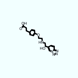 O=C(O)CCc1ccc(OCCNC[C@H](O)c2ccc3nnnn3c2)cc1